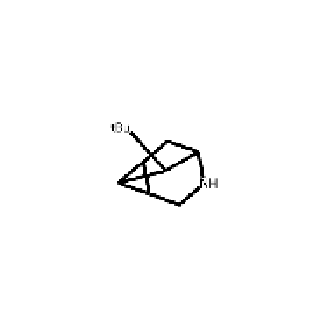 CC(C)(C)C1C2CC3C(CN2)C31